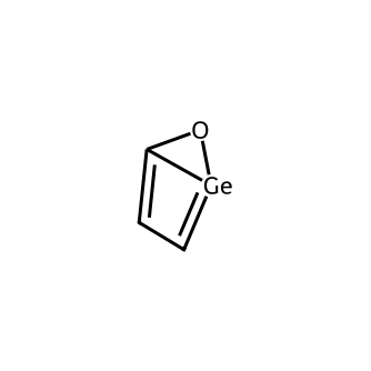 C1=[C]2[O][Ge]2=[CH]1